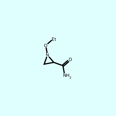 CCON1CC1C(N)=O